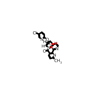 Cc1ccc(C(=O)N2C[C@@H]3CC[C@H]2[C@H](Oc2ccc(Cl)cn2)C3)c(-c2ncccn2)n1